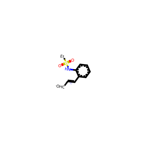 CCS(=O)(=O)Nc1ccccc1/C=C/[C]=O